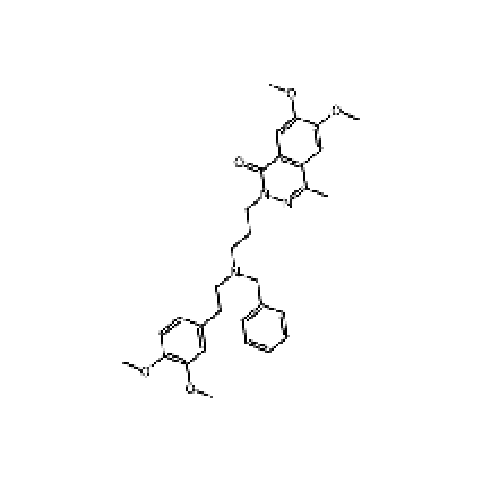 COc1ccc(CCN(CCCn2nc(C)c3cc(OC)c(OC)cc3c2=O)Cc2ccccc2)cc1OC